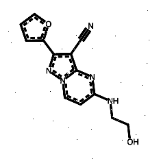 N#Cc1c(-c2ccco2)nn2ccc(NCCO)nc12